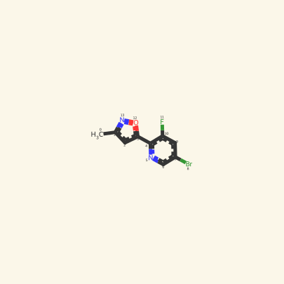 Cc1cc(-c2ncc(Br)cc2F)on1